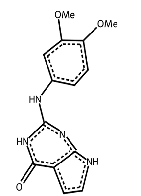 COc1ccc(Nc2nc3[nH]ccc3c(=O)[nH]2)cc1OC